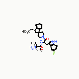 CC(C)(N)C(=O)N[C@H](Cc1c[nH]c2ccc(F)cc12)C(=O)N1CCC2(CC1)C[C@@H](CC(=O)O)c1ccccc12